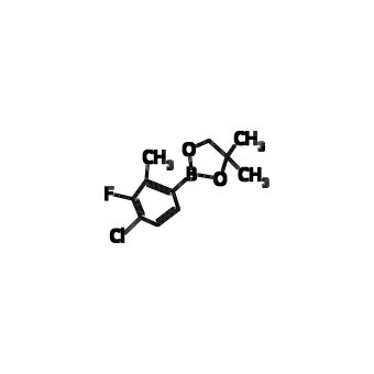 Cc1c(B2OCC(C)(C)O2)ccc(Cl)c1F